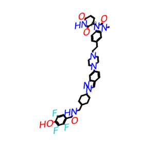 Cn1c(=O)n([C@@H]2CCC(=O)NC2=O)c2ccc(CCN3CCN(c4ccc5cn(C6CCC(CNC(=O)c7cc(F)c(O)c(F)c7F)CC6)nc5c4)CC3)cc21